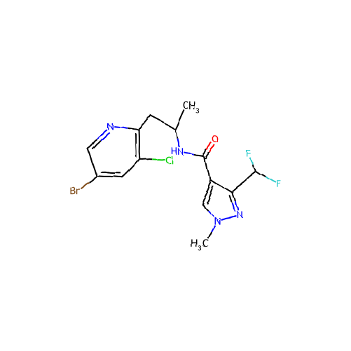 CC(Cc1ncc(Br)cc1Cl)NC(=O)c1cn(C)nc1C(F)F